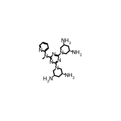 CN(c1ccccn1)c1nc(N2C[C@H](N)C[C@H](N)C2)nc(N2C[C@H](N)C[C@H](N)C2)n1